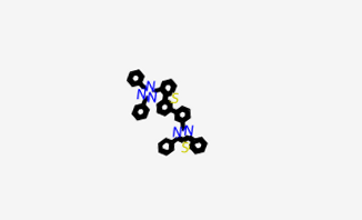 C1=CCCC(c2nc(-c3cccc(-c4cccc5c4sc4cccc(-c6nc(-c7ccccc7)nc(-c7ccccc7)n6)c45)c3)nc3c2sc2ccccc23)=C1